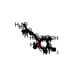 CC(C)[C@H](NI)C(=O)N[C@@H](CCCNC(N)=O)C(=O)Nc1ccc(COC(=O)NCCCC[C@@H]2NC(=O)[C@@H](Cc3c[nH]c4ccccc34)NC(=O)[C@H](Cc3ccccc3)NC(=O)[C@@H](NC(=O)[C@H](N)Cc3ccccc3)CSSC[C@@H](C(=O)N[C@H](CO)[C@@H](C)O)NC(=O)C([C@@H](C)O)NC2=O)cc1